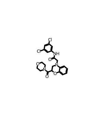 O=C(CN1CC(C(=O)N2CCOCC2)Oc2ccccc21)Nc1cc(Cl)cc(Cl)c1